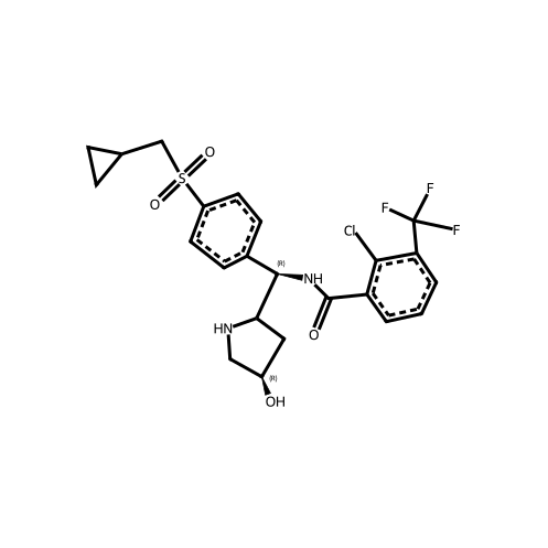 O=C(N[C@H](c1ccc(S(=O)(=O)CC2CC2)cc1)C1C[C@@H](O)CN1)c1cccc(C(F)(F)F)c1Cl